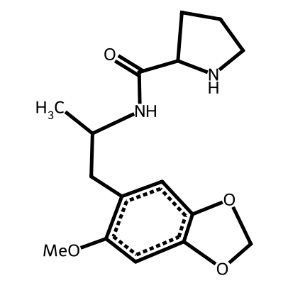 COc1cc2c(cc1CC(C)NC(=O)C1CCCN1)OCO2